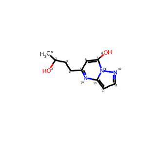 CC(O)CCc1cc(O)n2nccc2n1